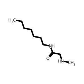 CCCCCCCNC(=O)CNC